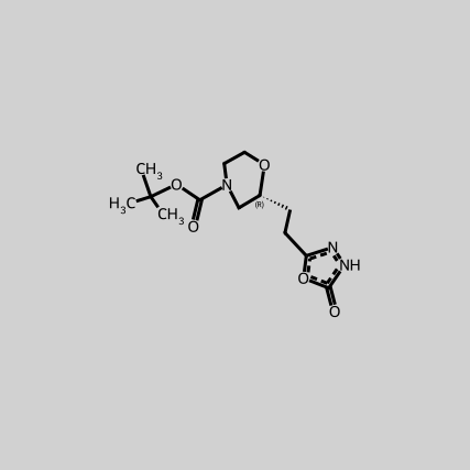 CC(C)(C)OC(=O)N1CCO[C@H](CCc2n[nH]c(=O)o2)C1